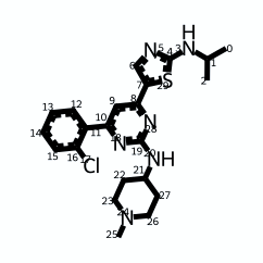 CC(C)Nc1ncc(-c2cc(-c3ccccc3Cl)nc(NC3CCN(C)CC3)n2)s1